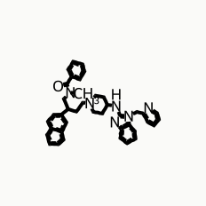 CN(CC(CCN1CCC(Nc2nc3ccccc3n2Cc2ccccn2)CC1)c1ccc2ccccc2c1)C(=O)c1ccccc1